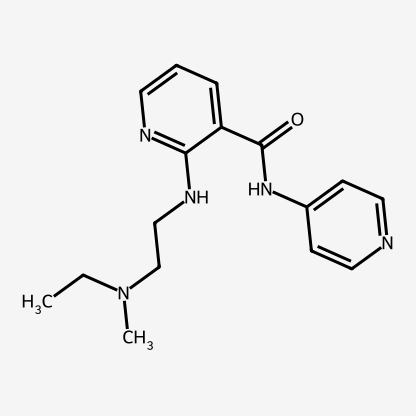 CCN(C)CCNc1ncccc1C(=O)Nc1ccncc1